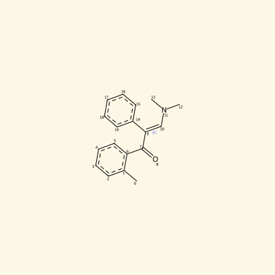 Cc1ccccc1C(=O)/C(=C/N(C)C)c1ccccc1